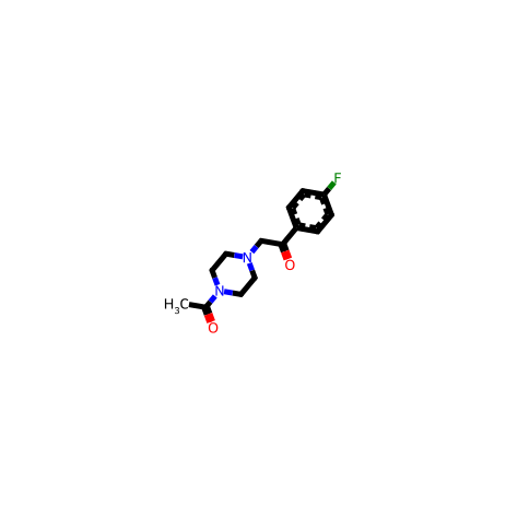 CC(=O)N1CCN(CC(=O)c2ccc(F)cc2)CC1